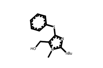 CCCCc1nc(Sc2ccccc2)c(CO)n1C